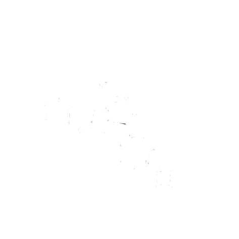 O=C([C@H]1C[C@H](Oc2ccccc2)CN1C(=O)O)N1CCCN(C2CCC2)CC1